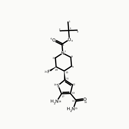 CC(C)(C)OC(=O)N1CC[C@@H](c2cc(C(N)=O)c(N)s2)[C@@H](F)C1